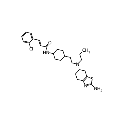 CCCN(CCC1CCC(NC(=O)/C=C/c2ccccc2Cl)CC1)[C@H]1CCc2nc(N)sc2C1